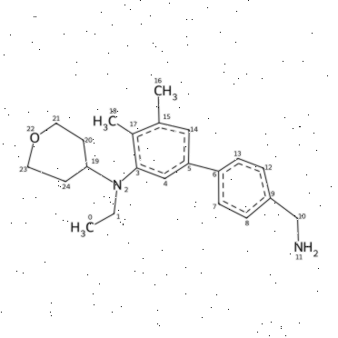 CCN(c1cc(-c2ccc(CN)cc2)cc(C)c1C)C1CCOCC1